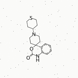 O=C1Nc2ccccc2C2(CCN(C3CCSCC3)CC2)O1